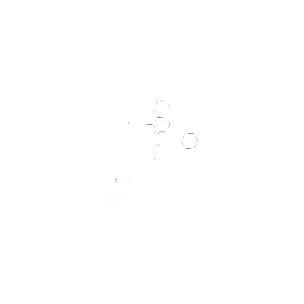 COCCNC(=O)CCCN1CCC[C@@H]1Cn1nc(Cc2ccc(Cl)cc2)c2ccccc2c1=O.O=CO